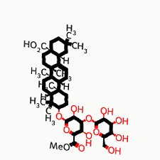 COC(=O)[C@H]1O[C@@H](O[C@H]2CC[C@]3(C)[C@H]4CC=C5[C@@H]6CC(C)(C)CC[C@]6(C(=O)O)CC[C@@]5(C)[C@]4(C)CC[C@H]3C2(C)C)[C@H](O)[C@@H](O[C@@H]2O[C@H](CO)[C@H](O)[C@H](O)[C@H]2O)[C@@H]1O